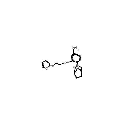 CN1C2CCC1CN(c1ccc(N)cc1COCCOC1C=CC=CO1)C2